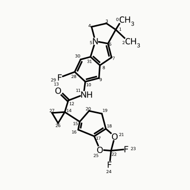 CC1(C)CCn2c1cc1cc(NC(=O)C3(C4=CC5=C(CC4)OC(F)(F)O5)CC3)c(F)cc12